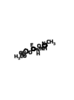 Cc1ccc(NC(=O)Nc2cc(F)cc(O[C@@H]3CCCN(S(C)(=O)=O)C3)c2)cn1